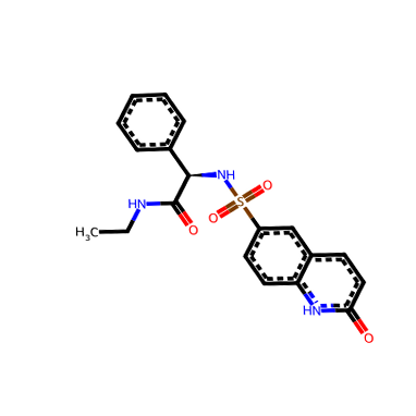 CCNC(=O)[C@H](NS(=O)(=O)c1ccc2[nH]c(=O)ccc2c1)c1ccccc1